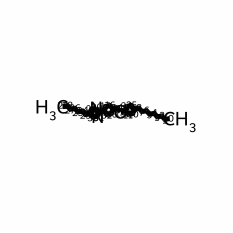 CCCCCCCCCc1ccc(OCC2CCC(c3ncc(CCCCCCC)cn3)CC2)cc1